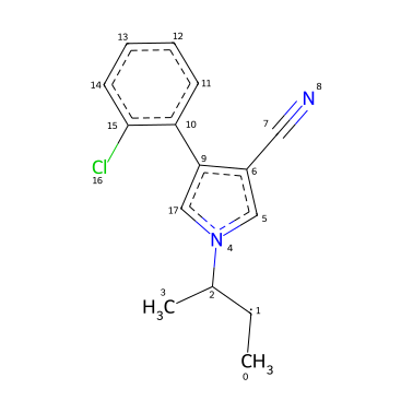 C[CH]C(C)n1cc(C#N)c(-c2ccccc2Cl)c1